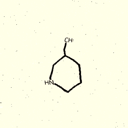 [CH]C1CCCNC1